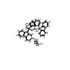 CCC(CCO[Si](c1ccccc1)(c1ccccc1)c1ccccc1)(C1=CC=CC1)C1C2C=CC=CC2C2CCCCC21.[Cl-].[Cl-].[Zr+2]